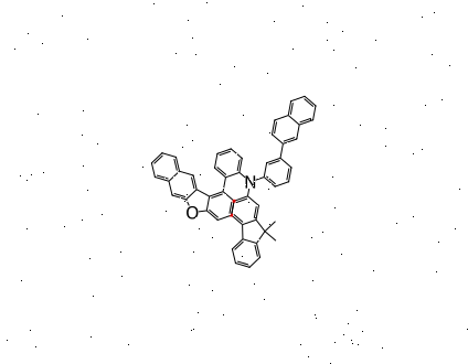 CC1(C)c2ccccc2-c2ccc(N(c3cccc(-c4ccc5ccccc5c4)c3)c3ccccc3-c3cccc4oc5cc6ccccc6cc5c34)cc21